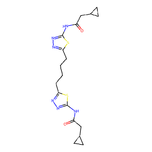 O=C(CC1CC1)Nc1nnc(CCCCc2nnc(NC(=O)CC3CC3)s2)s1